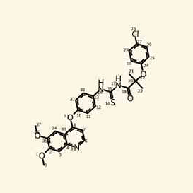 COc1cc2nccc(Oc3ccc(NC(=S)NC(=O)C(C)(C)Oc4ccc(Cl)cc4)cc3)c2cc1OC